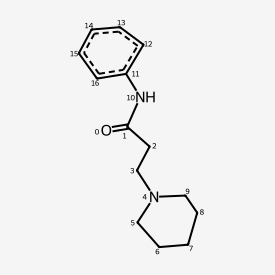 O=C(CCN1CCCCC1)Nc1ccccc1